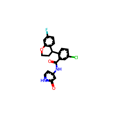 O=C(Nc1cc[nH]c(=O)c1)c1cc(Cl)ccc1C1CCOc2cc(F)ccc21